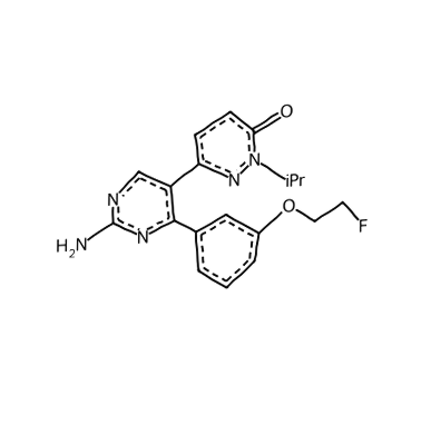 CC(C)n1nc(-c2cnc(N)nc2-c2cccc(OCCF)c2)ccc1=O